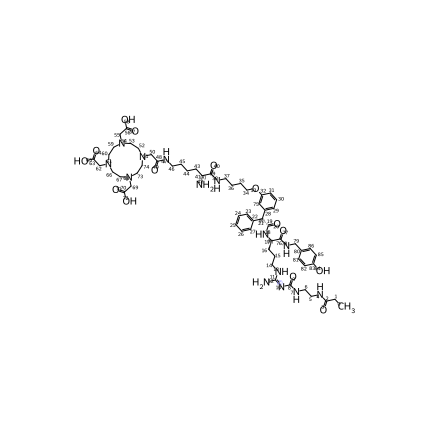 CCC(=O)NCCNC(=O)/N=C(/N)NCCC[C@@H](NC(=O)[C@H](c1ccccc1)c1cccc(OCCCCNC(=O)[C@H](N)CCCCNC(=O)CN2CCN(CC(=O)O)CCN(CC(=O)O)CCN(CC(=O)O)CC2)c1)C(=O)NCc1ccc(O)cc1